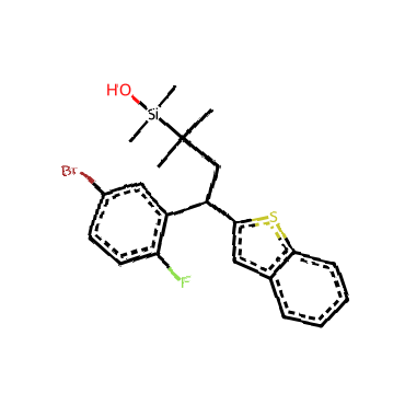 CC(C)(CC(c1cc2ccccc2s1)c1cc(Br)ccc1F)[Si](C)(C)O